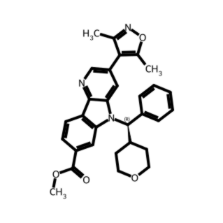 COC(=O)c1ccc2c3ncc(-c4c(C)noc4C)cc3n([C@@H](c3ccccc3)C3CCOCC3)c2c1